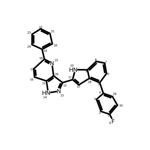 Fc1ccc(-c2cccc3[nH]c(-c4n[nH]c5ccc(-c6ccccc6)nc45)cc23)cc1